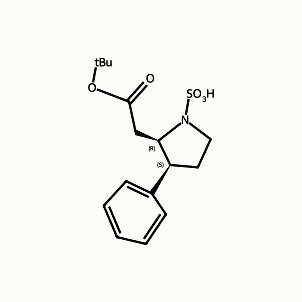 CC(C)(C)OC(=O)C[C@@H]1[C@H](c2ccccc2)CCN1S(=O)(=O)O